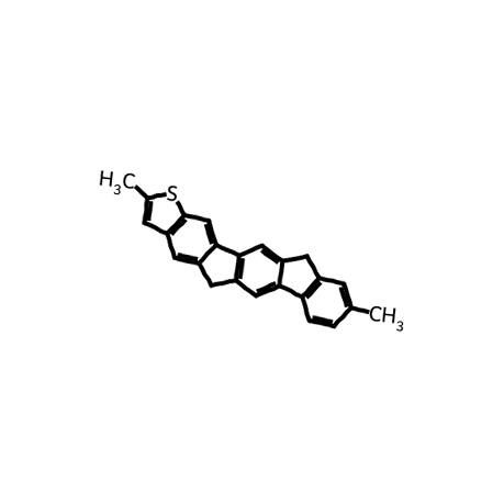 Cc1ccc2c(c1)Cc1cc3c(cc1-2)Cc1cc2cc(C)sc2cc1-3